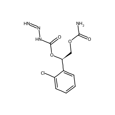 N=NNC(=O)O[C@@H](COC(N)=O)c1ccccc1Cl